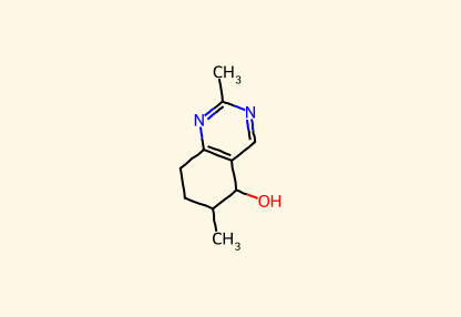 Cc1ncc2c(n1)CCC(C)C2O